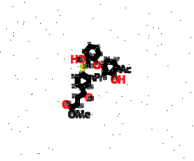 CCCc1c(OC2CCCCC2(O)CSc2ccc(C(=O)CCC(=O)OC)cc2)ccc(C(C)=O)c1O